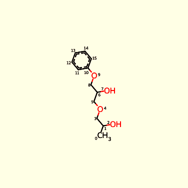 CC(O)COCC(O)COc1ccccc1